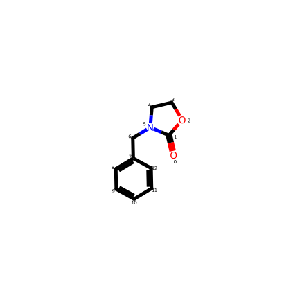 O=C1OCCN1Cc1ccccc1